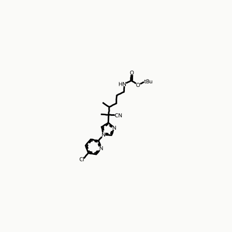 CC(CCCNC(=O)OC(C)(C)C)C(C)(C#N)c1cn(-c2ccc(Cl)cn2)cn1